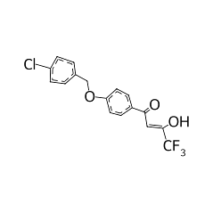 O=C(/C=C(\O)C(F)(F)F)c1ccc(OCc2ccc(Cl)cc2)cc1